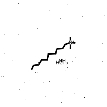 CCCCCCCCCC[N+](C)(C)C.Cl.N